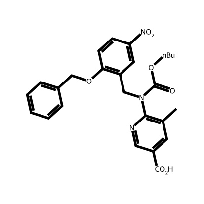 CCCCOC(=O)N(Cc1cc([N+](=O)[O-])ccc1OCc1ccccc1)c1ncc(C(=O)O)cc1C